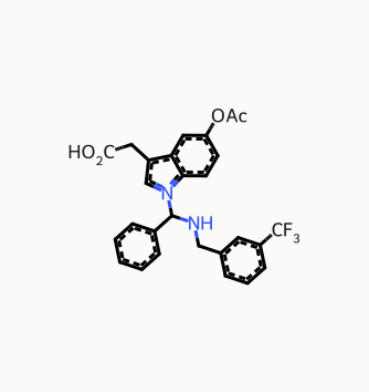 CC(=O)Oc1ccc2c(c1)c(CC(=O)O)cn2C(NCc1cccc(C(F)(F)F)c1)c1ccccc1